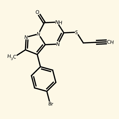 C#CCSc1nc2c(-c3ccc(Br)cc3)c(C)nn2c(=O)[nH]1